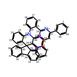 c1ccc(-c2cc(-c3ccccn3)nc(-c3ccccc3N3c4ccccc4C4(c5ccccc5-c5ccccc54)c4ccccc43)n2)cc1